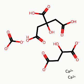 O=C(O)CC(O)(CC(=O)O)C(=O)O.O=C([O-])CC(O)C(=O)[O-].O=C([O-])[O-].[Ca+2].[Ca+2]